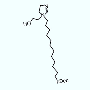 CCCCCCCCCCCCCCCCCCCCCC[N+]1(CCO)C=NCC1